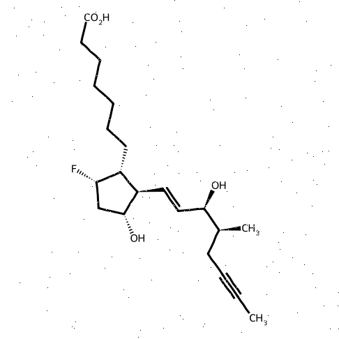 CC#CC[C@H](C)[C@H](O)C=C[C@@H]1[C@@H](CCCCCCC(=O)O)[C@@H](F)C[C@H]1O